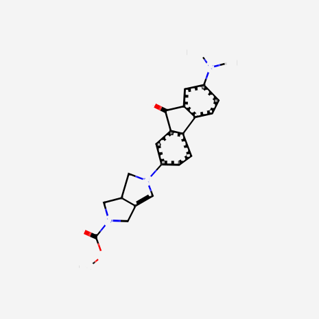 CN(C)c1ccc2c(c1)C(=O)c1cc(N3C=C4CN(C(=O)OC(C)(C)C)CC4C3)ccc1-2